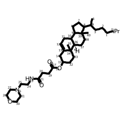 CC(C)CCCC(C)C1CCC2C3CC=C4CC(OC(=O)CCC(=O)NCCN5CCOCC5)CCC4(C)[C@@H]3CCC12C